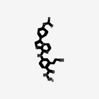 CNC(=O)c1ccc(Nc2nccn3c(-c4ccc(OC(F)F)cc4)cnc23)cc1CCO